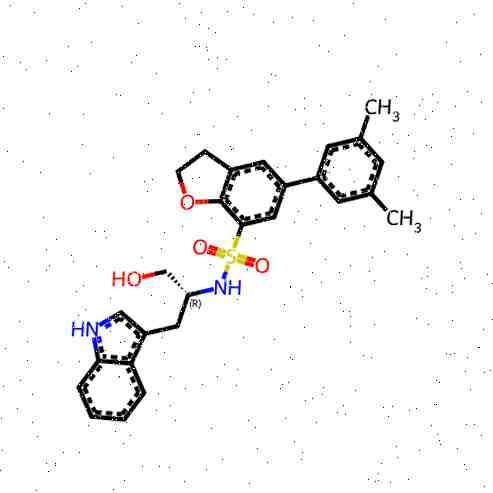 Cc1cc(C)cc(-c2cc3c(c(S(=O)(=O)N[C@@H](CO)Cc4c[nH]c5ccccc45)c2)OCC3)c1